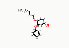 O=C(O)CCCOc1ccc(O)cc1Oc1ccccc1